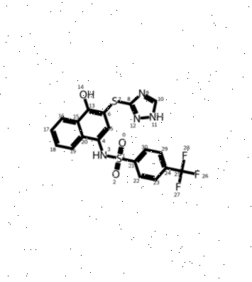 O=S(=O)(Nc1cc(Sc2nc[nH]n2)c(O)c2ccccc12)c1ccc(C(F)(F)F)cc1